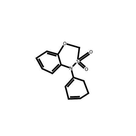 O=S1(=O)COc2ccccc2N1C1=CC=CCC1